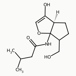 CC(C)CC(=O)NC12OC=C(O)[C@H]1CCC2CO